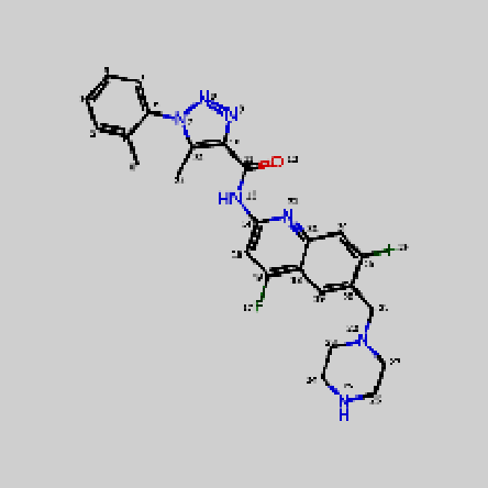 Cc1ccccc1-n1nnc(C(=O)Nc2cc(F)c3cc(CN4CCNCC4)c(F)cc3n2)c1C